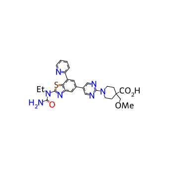 CCN(C(N)=O)c1nc2cc(-c3cnc(N4CCC(COC)(C(=O)O)CC4)nc3)cc(-c3ccccn3)c2s1